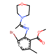 COC(=O)c1c(C)ccc(Br)c1/N=C(\C)N1CCOCC1